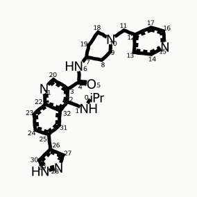 CC(C)Nc1c(C(=O)NC2CCN(Cc3ccncc3)CC2)cnc2ccc(-c3cn[nH]c3)cc12